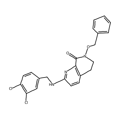 O=C1c2nc(NCc3ccc(Cl)c(Cl)c3)ccc2CCN1OCc1ccccc1